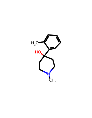 Cc1ccccc1C1(O)CCN(C)CC1